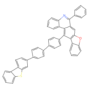 c1ccc(-c2nc3ccccc3c3c(-c4ccc(-c5ccc(-c6ccc7c(c6)sc6ccccc67)cc5)cc4)c4c(cc23)oc2ccccc24)cc1